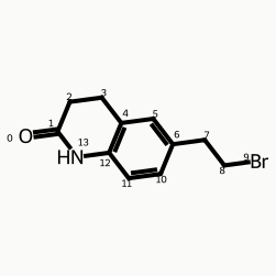 O=C1CCc2cc(CCBr)ccc2N1